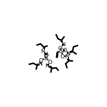 C=C[Si](ON=C(C)CC)(ON=C(C)CC)ON=C(C)CC.CCC(C)=NO[SiH](ON=C(C)CC)ON=C(C)CC